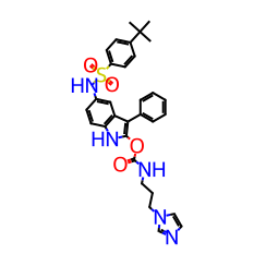 CC(C)(C)c1ccc(S(=O)(=O)Nc2ccc3[nH]c(OC(=O)NCCCn4ccnc4)c(-c4ccccc4)c3c2)cc1